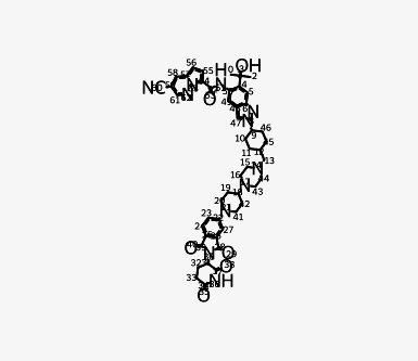 CC(C)(O)c1cc2nn(C3CCC(CN4CCN(C5CCN(c6ccc7c(c6)C(=O)N(C6CCC(=O)NC6=O)C7=O)CC5)CC4)CC3)cc2cc1NC(=O)c1ccc2cc(C#N)cnn12